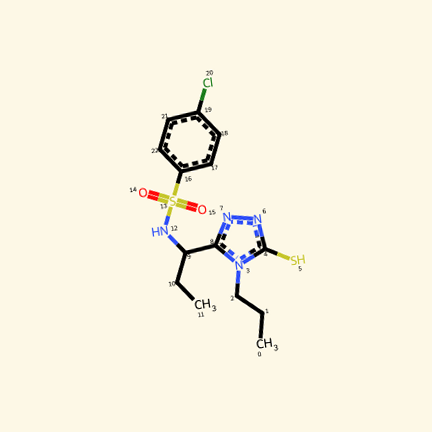 CCCn1c(S)nnc1C(CC)NS(=O)(=O)c1ccc(Cl)cc1